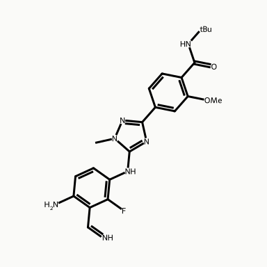 COc1cc(-c2nc(Nc3ccc(N)c(C=N)c3F)n(C)n2)ccc1C(=O)NC(C)(C)C